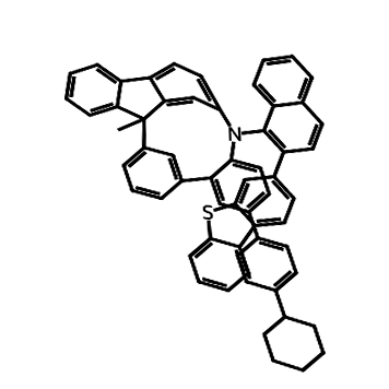 CC12c3cccc(c3)-c3cc(-c4ccc(C5CCCCC5)cc4)ccc3N(c3c(-c4ccc5c(c4)sc4ccccc45)ccc4ccccc34)c3ccc(c1c3)-c1ccccc12